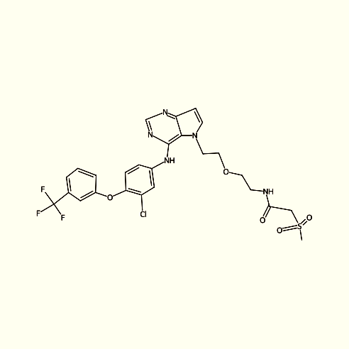 CS(=O)(=O)CC(=O)NCCOCCn1ccc2ncnc(Nc3ccc(Oc4cccc(C(F)(F)F)c4)c(Cl)c3)c21